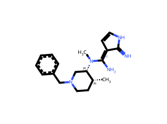 C[C@@H]1CCN(Cc2ccccc2)C[C@@H]1N(C)/C(N)=C1\C=CNC1=N